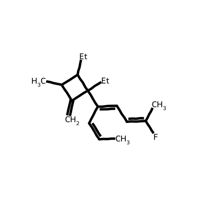 C=C1C(C)C(CC)C1(CC)C(/C=C\C)=C/C=C(\C)F